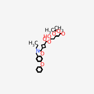 CCCN(Cc1ccc(Oc2ccccc2)cc1)C(=O)C1CC(C(=O)OC(O)CC2=CC(=O)OC(C)(C)O2)C1